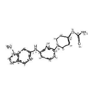 CC(C)n1cnc2cnc(Nc3ccnc(N4CCC(OC(N)=O)CC4)n3)cc21